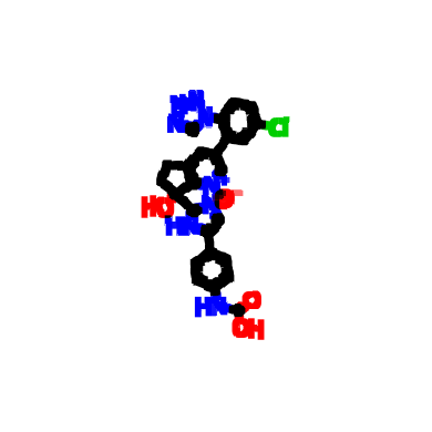 O=C(O)Nc1ccc(-c2cnc(C3(O)CCc4cc(-c5cc(Cl)ccc5-n5cnnn5)c[n+]([O-])c43)[nH]2)cc1